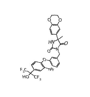 CCCc1cc(C(O)(C(F)(F)F)C(F)(F)F)ccc1Oc1cccc(CN2C(=O)NC(C)(c3ccc4c(c3)OCCO4)C2=O)c1